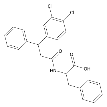 O=C(CC(c1ccccc1)c1ccc(Cl)c(Cl)c1)NC(Cc1ccccc1)C(=O)O